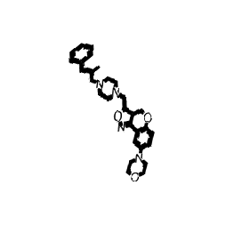 C/C(=C\c1ccccc1)CN1CCN(CC2ON=C3c4cc(N5CCOCC5)ccc4OCC32)CC1